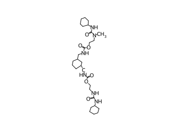 CN(CCOC(=O)NCC1CCCC(CNC(=O)OCCNC(=O)NC2CCCCC2)C1)C(=O)NC1CCCCC1